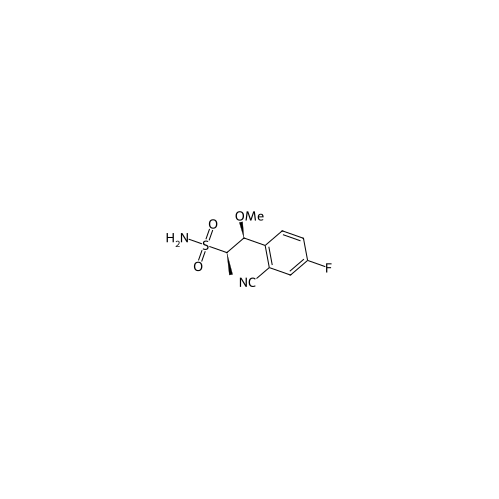 CO[C@@H](c1ccc(F)cc1C#N)[C@@H](C)S(N)(=O)=O